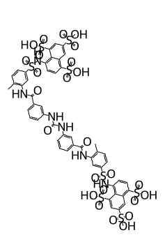 Cc1ccc(S(=O)(=O)Nc2ccc(S(=O)(=O)O)c3cc(S(=O)(=O)O)cc(S(=O)(=O)O)c23)cc1NC(=O)c1cccc(NC(=O)Nc2cccc(C(=O)Nc3cc(S(=O)(=O)Nc4ccc(S(=O)(=O)O)c5cc(S(=O)(=O)O)cc(S(=O)(=O)O)c45)ccc3C)c2)c1